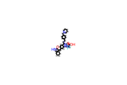 O=C(O)C(F)(F)F.O=C1NCC2(CCCCC2)C1=Cc1ccc2c(/C=C/c3ccc(CN4CCCCC4)cc3)n[nH]c2c1